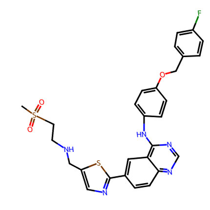 CS(=O)(=O)CCNCc1cnc(-c2ccc3ncnc(Nc4ccc(OCc5ccc(F)cc5)cc4)c3c2)s1